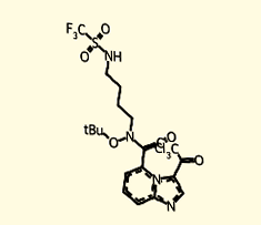 CC(C)(C)ON(CCCCNS(=O)(=O)C(F)(F)F)C(=C=O)c1cccc2ncc(C(=O)C(Cl)(Cl)Cl)n12